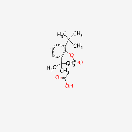 CC(C)(C)c1c[c]cc(C(C)(C)C)c1OC(=O)CCC(=O)O